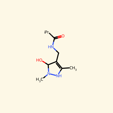 CC1=C(CNC(=O)C(C)C)C(O)N(C)N1